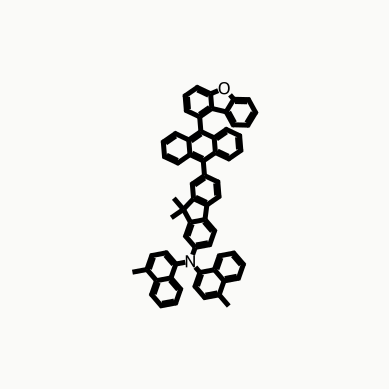 Cc1ccc(N(c2ccc3c(c2)C(C)(C)c2cc(-c4c5ccccc5c(-c5cccc6oc7ccccc7c56)c5ccccc45)ccc2-3)c2ccc(C)c3ccccc23)c2ccccc12